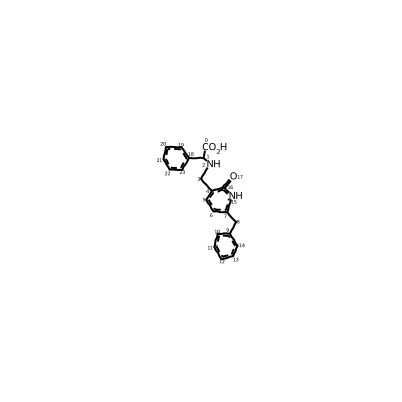 O=C(O)C(NCc1ccc(Cc2ccccc2)[nH]c1=O)c1ccccc1